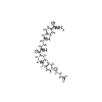 CN(C)CCCOc1ccc(CN2CCC(C(=O)NCCCNCc3ccc(C(N)=O)cc3)CC2)cc1